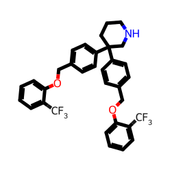 FC(F)(F)c1ccccc1OCc1ccc(C2(c3ccc(COc4ccccc4C(F)(F)F)cc3)CCCNC2)cc1